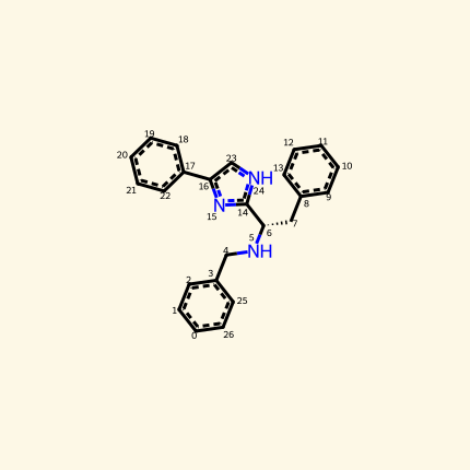 c1ccc(CN[C@@H](Cc2ccccc2)c2nc(-c3ccccc3)c[nH]2)cc1